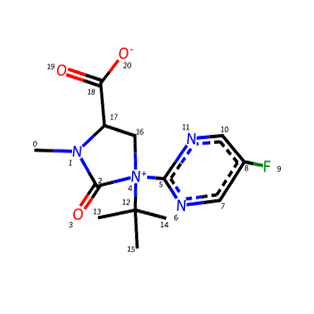 CN1C(=O)[N+](c2ncc(F)cn2)(C(C)(C)C)CC1C(=O)[O-]